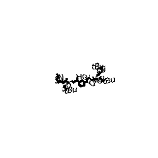 C/C(=C\C[C@H](O[Si](C)(C)C(C)(C)C)/C(C)=C/c1csc(C)n1)c1cccc([C@H](C)[C@@H](O)[C@H](C)C(=O)C(C)(C)[C@H](CCO[Si](C)(C)C(C)(C)C)O[Si](C)(C)C(C)(C)C)c1